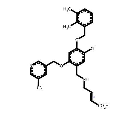 Cc1cccc(COc2cc(OCc3cncc(C#N)c3)c(CNC/C=C/C(=O)O)cc2Cl)c1C